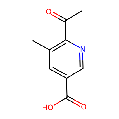 CC(=O)c1ncc(C(=O)O)cc1C